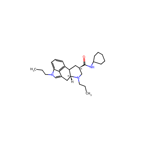 CCCN1C[C@H](C(=O)NC2CCCCC2)CC2c3cccc4c3c(cn4CCC)C[C@H]21